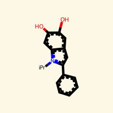 CC(C)n1c(-c2ccccc2)cc2cc(O)c(O)cc21